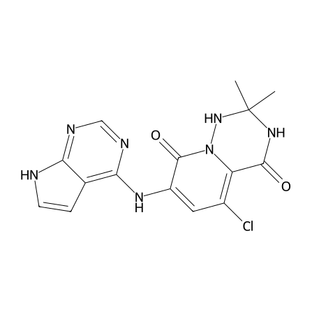 CC1(C)NC(=O)c2c(Cl)cc(Nc3ncnc4[nH]ccc34)c(=O)n2N1